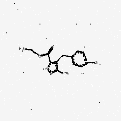 CCOC(=O)c1[nH]nc(C)c1Cc1ccc(C)cc1